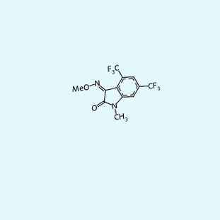 CON=C1C(=O)N(C)c2cc(C(F)(F)F)cc(C(F)(F)F)c21